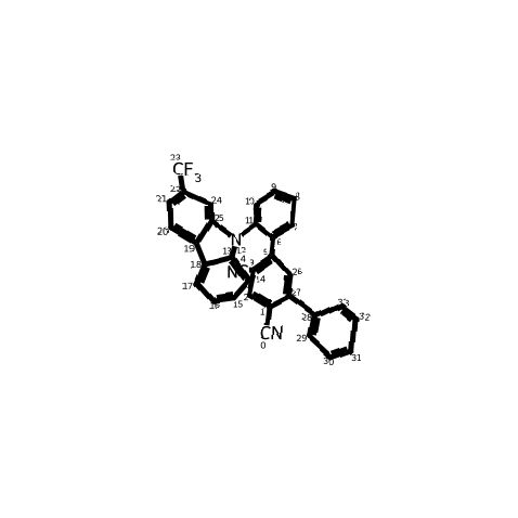 N#Cc1cc(C#N)c(-c2ccccc2-n2c3ccccc3c3ccc(C(F)(F)F)cc32)cc1-c1ccccc1